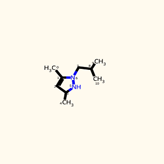 CC1=CC(C)NN1CC(C)C